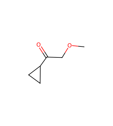 COCC(=O)C1CC1